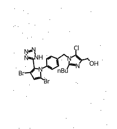 CCCCc1nc(CO)c(Cl)n1Cc1ccc(-n2c(Br)cc(Br)c2-c2nnn[nH]2)cc1